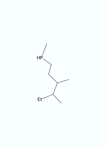 CCC(C)C(C)CCPC